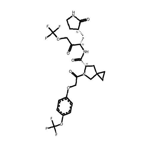 O=C1NCC[C@H]1C[C@H](NC(=O)[C@@H]1CC2(CC2)CN1C(=O)COc1ccc(OC(F)(F)F)cc1)C(=O)COC(F)(F)F